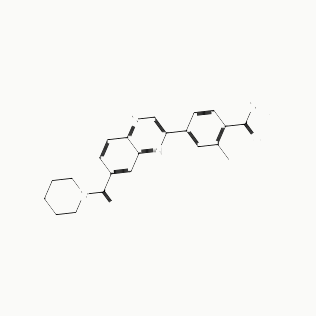 Cc1cc(-c2cnc3ccc(C(=O)N4CCCCC4)cc3n2)ccc1C(N)=O